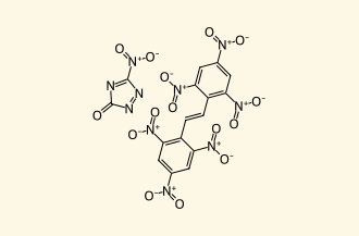 O=C1N=NC([N+](=O)[O-])=N1.O=[N+]([O-])c1cc([N+](=O)[O-])c(/C=C/c2c([N+](=O)[O-])cc([N+](=O)[O-])cc2[N+](=O)[O-])c([N+](=O)[O-])c1